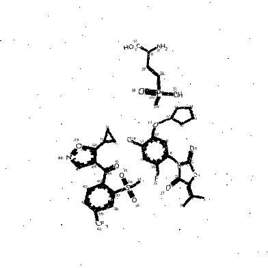 CC(C)=C1OC(=O)N(c2cc(OC3CCCC3)c(Cl)cc2F)C1=O.CP(=O)(O)CCC(N)C(=O)O.CS(=O)(=O)c1cc(C(F)(F)F)ccc1C(=O)c1cnoc1C1CC1